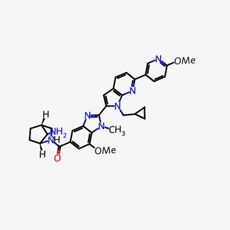 COc1ccc(-c2ccc3cc(-c4nc5cc(C(=O)N6C[C@H]7CC[C@@H]6[C@@H]7N)cc(OC)c5n4C)n(CC4CC4)c3n2)cn1